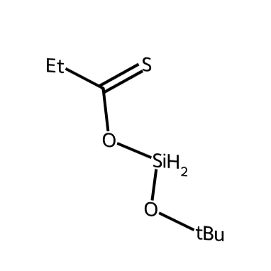 CCC(=S)O[SiH2]OC(C)(C)C